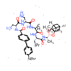 CCCCc1ccc(-c2ccc(C(=O)N[C@@H](CN)C(=O)N[C@@H](CN)C(=O)N[C@@H](C)C(=O)N[C@@H](CC(C)C)C(=O)N[C@@H](C)B3OC4C[C@@H]5C[C@@H](C5(C)C)[C@]4(C)O3)cc2)cc1